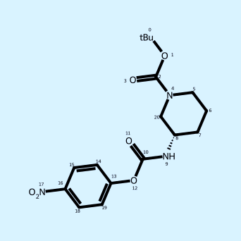 CC(C)(C)OC(=O)N1CCC[C@H](NC(=O)Oc2ccc([N+](=O)[O-])cc2)C1